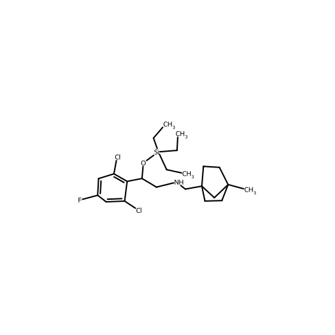 CC[Si](CC)(CC)OC(CNCC12CCC(C)(CC1)C2)c1c(Cl)cc(F)cc1Cl